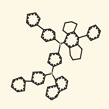 c1ccc(-c2ccc(N(c3ccc(N(c4ccc(-c5ccccc5)cc4)c4cccc5ccccc45)cc3)c3c4c(c(-c5ccccc5)c5c3CCCC5)CCCC4)cc2)cc1